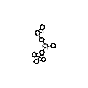 c1ccc(-c2cc(-c3ccc(-c4cccc5c4oc4ccccc45)cc3)nc(-c3ccc4c(c3)-c3ccccc3C43c4ccccc4-c4ccccc43)n2)cc1